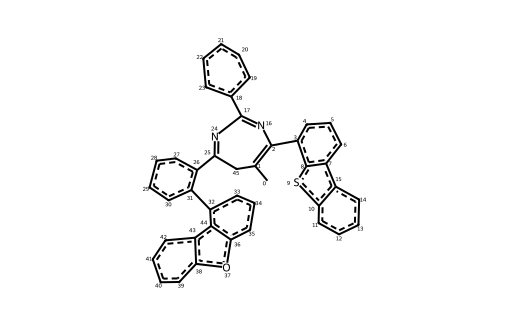 CC1=C(c2cccc3c2sc2ccccc23)N=C(c2ccccc2)N=C(c2ccccc2-c2cccc3oc4ccccc4c23)C1